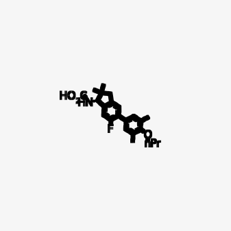 CCCOc1c(C)cc(-c2cc3c(cc2F)[C@H](NC(=O)O)C(C)(C)C3)cc1C